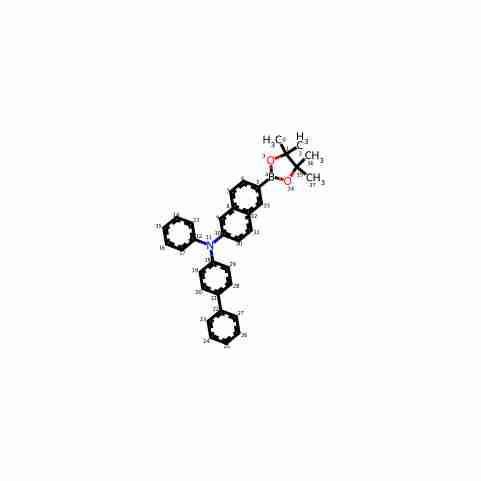 CC1(C)OB(c2ccc3cc(N(c4ccccc4)c4ccc(-c5ccccc5)cc4)ccc3c2)OC1(C)C